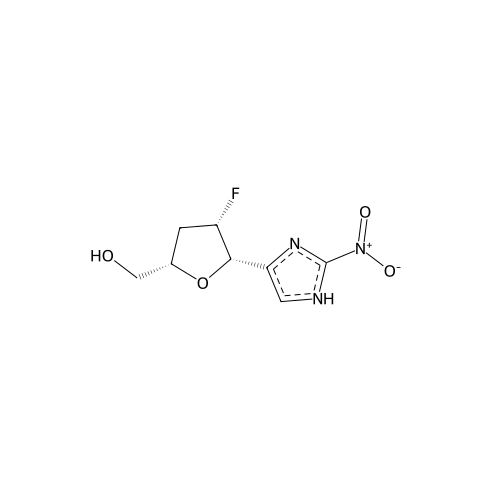 O=[N+]([O-])c1nc([C@@H]2O[C@H](CO)C[C@@H]2F)c[nH]1